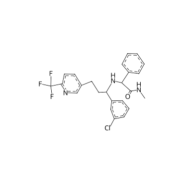 CNC(=O)C(NC(CCc1ccc(C(F)(F)F)nc1)c1cccc(Cl)c1)c1ccccc1